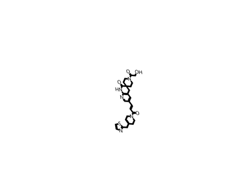 O=C(C=Cc1cnc2c(c1)CC1(CCN(C(=O)CO)CC1)C(=O)N2)N1CC=C(Cc2nccs2)CC1